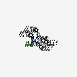 COc1ccc(CCN(C)CCCC(C#N)(c2ccc(OC)c(OC)c2)C(C)C)cc1OC.COc1ccc(CCN(C)CCCC(C#N)(c2ccc(OC)c(OC)c2)C(C)C)cc1OC.Cl.Cl